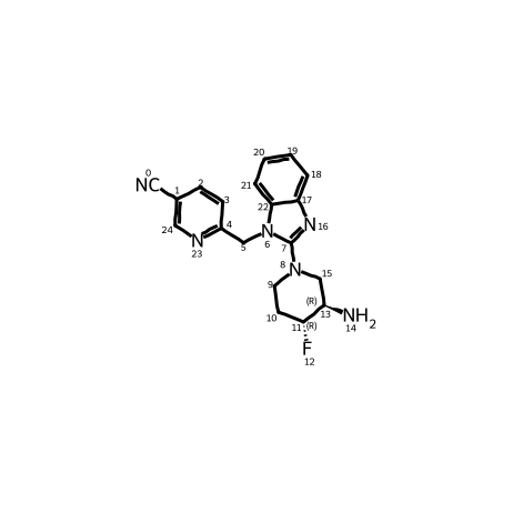 N#Cc1ccc(Cn2c(N3CC[C@@H](F)[C@H](N)C3)nc3ccccc32)nc1